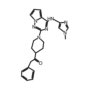 Cn1cnc(Nc2nc(N3CCC(C(=O)Cc4ccccc4)CC3)nn3cccc23)c1